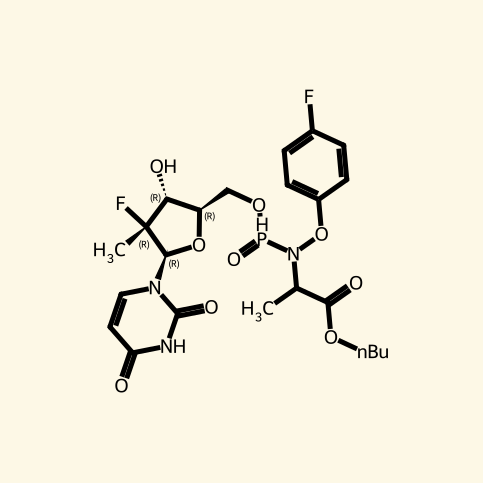 CCCCOC(=O)C(C)N(Oc1ccc(F)cc1)[PH](=O)OC[C@H]1O[C@@H](n2ccc(=O)[nH]c2=O)[C@](C)(F)[C@@H]1O